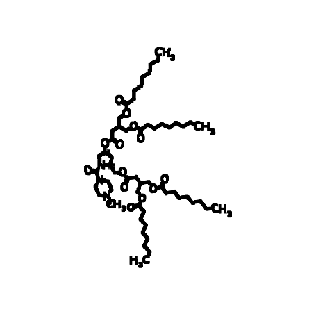 CCCCCCCCC(=O)OCC(COC(=O)CCCCCCCC)CC(=O)OC[C@@H]1C[C@H](OC(=O)CC(COC(=O)CCCCCCCC)COC(=O)CCCCCCCC)CN1C(=O)N1CCN(C)CC1